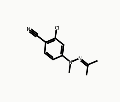 CC(C)=NN(C)c1ccc(C#N)c(Cl)c1